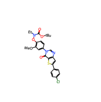 CCN(Oc1ccc(-n2cnc3cc(-c4ccc(Cl)cc4)sc3c2=O)cc1OC)C(=O)OC(C)(C)C